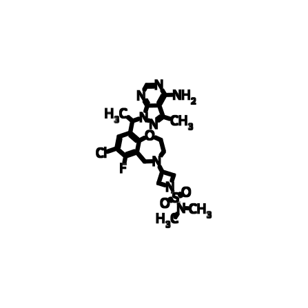 Cc1nn(C(C)c2cc(Cl)c(F)c3c2OCCN(C2CN(S(=O)(=O)N(C)C)C2)C3)c2ncnc(N)c12